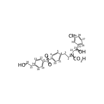 O=C(O)N(CCc1ccc(S(=O)(=O)c2ccc(CCO)cc2)cc1)C[C@H](O)c1cccc(Cl)c1